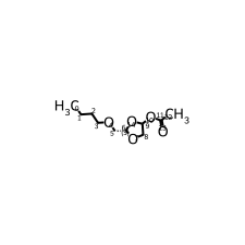 CCCCOC[C@H]1OCC(OC(C)=O)O1